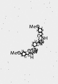 COc1ccc(CC(=O)Nc2nnc([C@@H]3CCC[C@@H](c4nnc(NC(=O)Cc5ccc(OC)cc5)s4)C3)s2)cc1